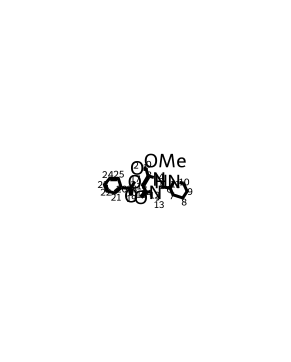 COC(=O)c1nc(C2CCCCN2)n(C)c(=O)c1OC(=O)c1ccccc1